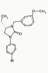 CC[C@H]1CN(c2ccc(Br)cc2)C(=O)N1Cc1cccc(OC)c1